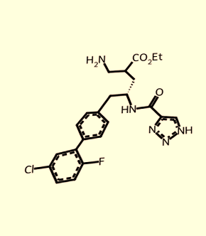 CCOC(=O)C(CN)C[C@@H](Cc1ccc(-c2cc(Cl)ccc2F)cc1)NC(=O)c1c[nH]nn1